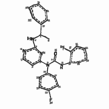 CC(Nc1nccc(N(C(=O)Nc2ccccc2F)c2ccc(F)cc2)n1)c1ccccc1